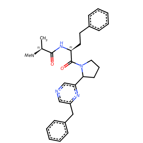 CN[C@@H](C)C(=O)N[C@@H](CCc1ccccc1)C(=O)N1CCCC1c1cncc(Cc2ccccc2)n1